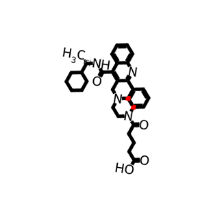 C[C@H](NC(=O)c1c(CN2CCN(C(=O)CCCC(=O)O)CC2)c(-c2ccccc2)nc2ccccc12)C1CCCCC1